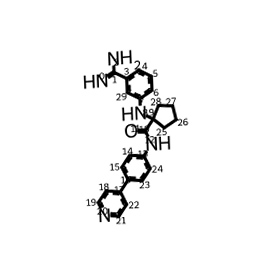 N=C(N)c1cccc(NC2(C(=O)Nc3ccc(-c4ccncc4)cc3)CCCC2)c1